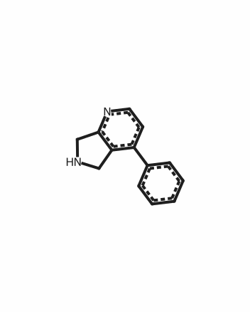 c1ccc(-c2ccnc3c2CNC3)cc1